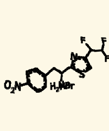 Br.N[C@@H](Cc1ccc([N+](=O)[O-])cc1)c1nc(C(F)C(F)F)cs1